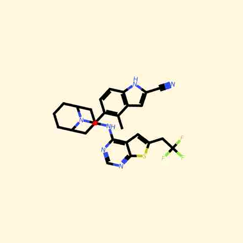 Cc1c(CN2C3CCCC2CC(Nc2ncnc4sc(CC(F)(F)F)cc24)C3)ccc2[nH]c(C#N)cc12